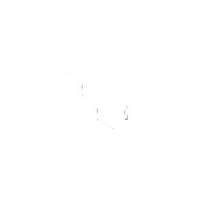 C=C(C)/N=C\SC/C=C\C(C)(C)C